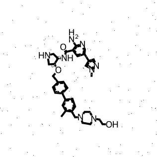 Cc1cc(-c2ccc(CO[C@H]3CNC[C@@H]3NC(=O)c3cc(-c4cnn(C)c4)cnc3N)cc2)ccc1CN1CCN(CCO)CC1